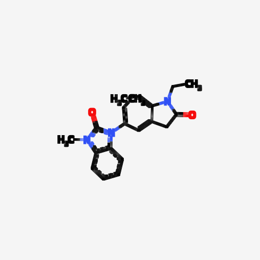 C\C=C1/C(=C\C(=C/C)n2c(=O)n(C)c3ccccc32)CC(=O)N1CC